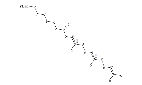 CCCCCCCCCCCCCCCCC(=O)C/C=C(\C)CC/C=C(\C)CCC=C(C)C